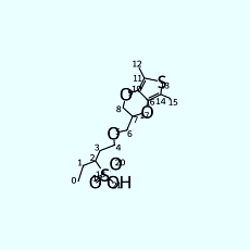 CCC(CCOCC1COc2c(C)sc(C)c2O1)S(=O)(=O)O